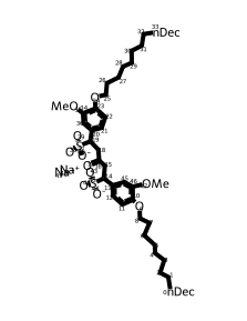 CCCCCCCCCCCCCCCCCCOc1ccc(C(CC(=O)CC(c2ccc(OCCCCCCCCCCCCCCCCCC)c(OC)c2)S(=O)(=O)[O-])S(=O)(=O)[O-])cc1OC.[Na+].[Na+]